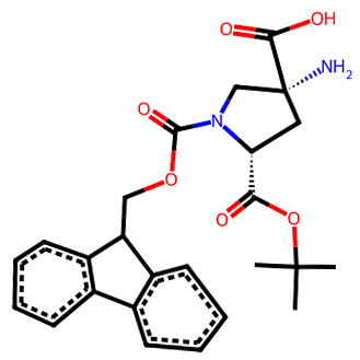 CC(C)(C)OC(=O)[C@H]1C[C@](N)(C(=O)O)CN1C(=O)OCC1c2ccccc2-c2ccccc21